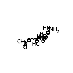 Cl.N=C(N)c1ccc(-c2ccc(C(=O)NCC(N)C(=O)CCCc3ccc(N(CCCl)CCCl)cc3)o2)cc1